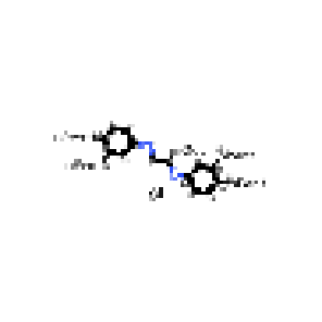 CCCCCCCCC(/C=N/c1ccc(CCCCC)c(CCCCC)c1)=N\c1ccc(CCCCC)c(CCCCC)c1.[Pd]